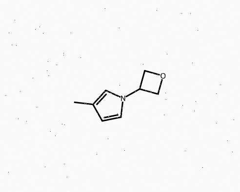 Cc1ccn(C2COC2)c1